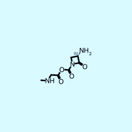 CNCC(=O)OC(=O)N1C[C@H](N)C1=O